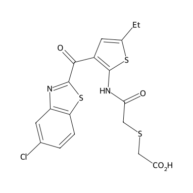 CCc1cc(C(=O)c2nc3cc(Cl)ccc3s2)c(NC(=O)CSCC(=O)O)s1